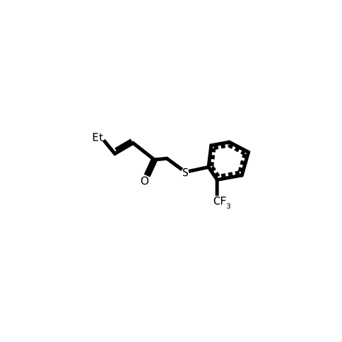 CC/C=C/C(=O)CSc1ccccc1C(F)(F)F